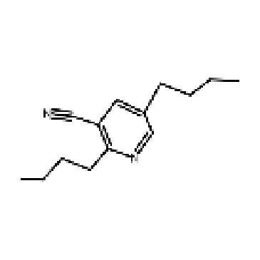 CCCCc1cnc(CCCC)c(C#N)c1